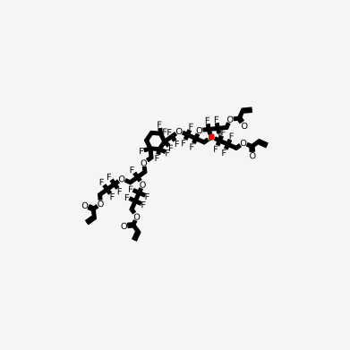 C=CC(=O)OCC(F)(F)C(F)(F)OCC(F)(COCC1(F)CCC(F)(F)C(F)(C(F)(F)OC(F)(F)C(F)(COC(F)(F)C(F)(F)COC(=O)C=C)OC(F)(F)C(F)(F)COC(=O)C=C)C1(F)F)OC(F)(F)C(F)(F)COC(=O)C=C